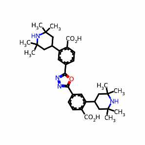 CC1(C)CC(c2cc(-c3nnc(-c4ccc(C(=O)O)c(C5CC(C)(C)NC(C)(C)C5)c4)o3)ccc2C(=O)O)CC(C)(C)N1